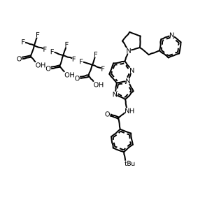 CC(C)(C)c1ccc(C(=O)Nc2cn3nc(N4CCCC4Cc4cccnc4)ccc3n2)cc1.O=C(O)C(F)(F)F.O=C(O)C(F)(F)F.O=C(O)C(F)(F)F